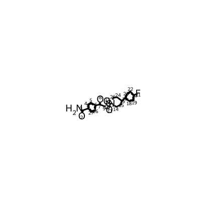 NC(=O)c1ccc(C(=O)CS(=O)(=O)N2CCC(c3ccc(F)cc3)CC2)cc1